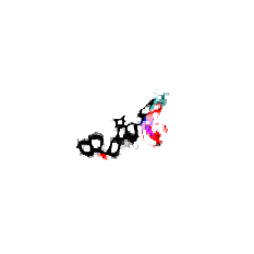 CCCC1(CCC)c2cc(C(=O)c3cccc4ccccc34)ccc2-c2ccc(/C(=N\OC(C)=O)c3ccccc3OCC(F)(F)C(F)F)cc21